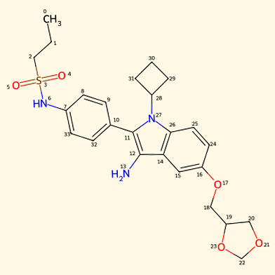 CCCS(=O)(=O)Nc1ccc(-c2c(N)c3cc(OCC4COCO4)ccc3n2C2CCC2)cc1